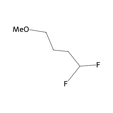 COCCCC(F)F